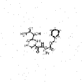 CCC(N)C(O)C(=O)N[C@H](CC(C)C)C(=O)N[C@H](C(=O)OCc1ccccc1)C(C)C